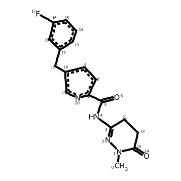 CN1N=C(NC(=O)c2ccc(Cc3cccc(F)c3)cn2)CCC1=O